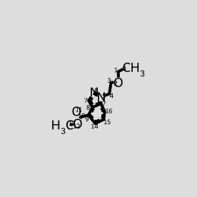 CCOCCn1ncc2c(C(=O)OC)cccc21